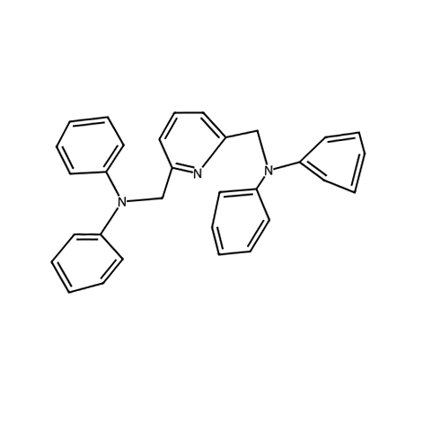 c1ccc(N(Cc2cccc(CN(c3ccccc3)c3ccccc3)n2)c2ccccc2)cc1